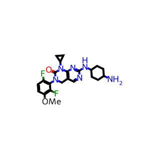 COc1ccc(F)c(N2Cc3cnc(NC4CCC(N)CC4)nc3N(C3CC3)C2=O)c1F